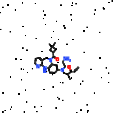 C=CC(=O)C(C)CN(CCN)c1ccc2c(c1)N(C(=O)C1CC(C)(C)C1)Cc1cccnc1N2